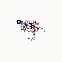 C=CC[C@H](NC(=O)[C@H](CCSC)NC(=O)OC(C)(C)C)[C@@H](O)C[C@@H](C)C(=O)N[C@@H](C)C(=O)NCc1ccccc1